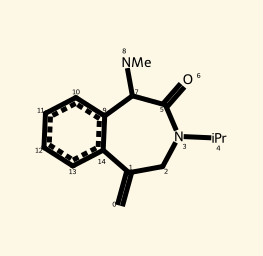 C=C1CN(C(C)C)C(=O)C(NC)c2ccccc21